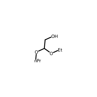 CCCOC(CO)OCC